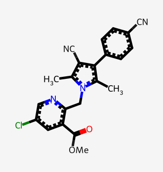 COC(=O)c1cc(Cl)cnc1Cn1c(C)c(C#N)c(-c2ccc(C#N)cc2)c1C